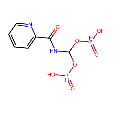 O=C(NC(O[PH](=O)O)O[PH](=O)O)c1ccccn1